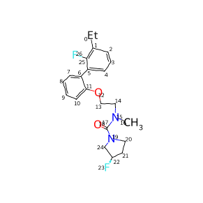 CCc1cccc(-c2ccccc2OCCN(C)C(=O)N2CC[C@@H](F)C2)c1F